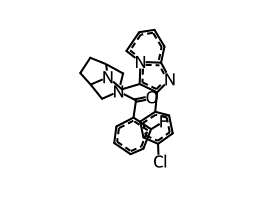 O=C(c1ccccc1F)N1CC2CCC(C1)N2Cc1c(-c2ccc(Cl)cc2)nc2ccccn12